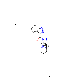 CN1C2CCCC1CC(NC(=O)C1=NN=C3CC=CC=C31)C2